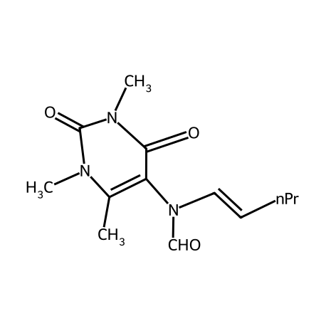 CCC/C=C/N(C=O)c1c(C)n(C)c(=O)n(C)c1=O